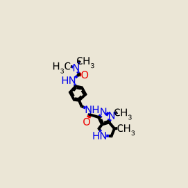 CC1CNCc2c(C(=O)NCc3ccc(NC(=O)N(C)C)cc3)nn(C)c21